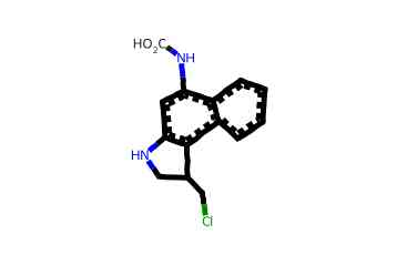 O=C(O)Nc1cc2c(c3ccccc13)C(CCl)CN2